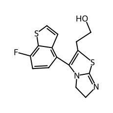 OCCC1=C(c2ccc(F)c3sccc23)N2CCN=C2S1